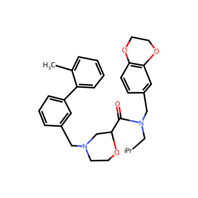 Cc1ccccc1-c1cccc(CN2CCOC(C(=O)N(Cc3ccc4c(c3)OCCO4)CC(C)C)C2)c1